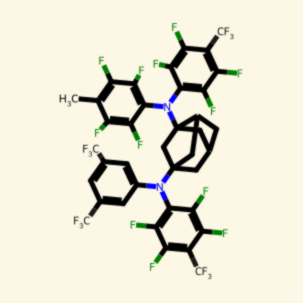 Cc1c(F)c(F)c(N(c2c(F)c(F)c(C(F)(F)F)c(F)c2F)C23CC4CC2CC(N(c2cc(C(F)(F)F)cc(C(F)(F)F)c2)c2c(F)c(F)c(C(F)(F)F)c(F)c2F)(C4)C3)c(F)c1F